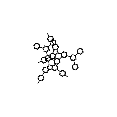 Cc1ccc(-c2ccc3c(c2)c2cc(-c4ccc(C)cc4)ccc2n3-c2ccc(-c3nc(-c4ccccc4)nc(-c4ccccc4)n3)cc2-c2cccc(-c3cc(-c4nc(-c5ccccc5)nc(-c5ccccc5)n4)ccc3-n3c4ccc(-c5ccc(C)cc5)cc4c4cc(-c5ccc(C)cc5)ccc43)c2)cc1